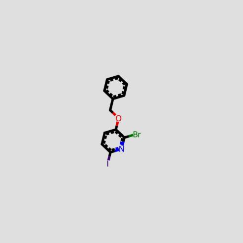 Brc1nc(I)ccc1OCc1ccccc1